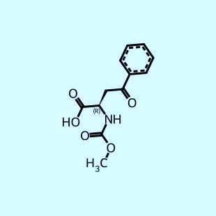 COC(=O)N[C@H](CC(=O)c1ccccc1)C(=O)O